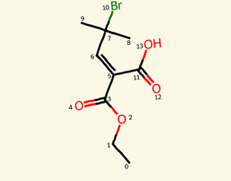 CCOC(=O)C(=CC(C)(C)Br)C(=O)O